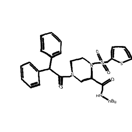 CCCCNC(=O)C1CN(C(=O)C(c2ccccc2)c2ccccc2)CCN1S(=O)(=O)c1cccs1